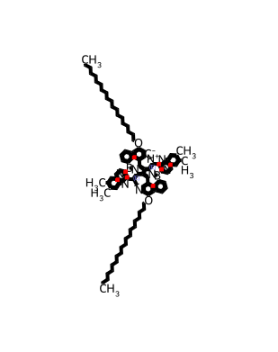 [C-]#[N+]/C(c1cnc2cc(C)c(C)cc2n1)=c1\c2c(-c3ccc(OCCCCCCCCCCCCCCCCCCCC)cc3)n(B(c3ccccc3)c3ccccc3)/c(=C(/C#N)c3cnc4cc(C)c(C)cc4n3)c2c(-c2ccc(OCCCCCCCCCCCCCCCCCCCC)cc2)n1B(c1ccccc1)c1ccccc1